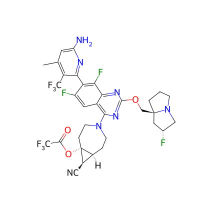 Cc1cc(N)nc(-c2c(F)cc3c(N4CC[C@H]5[C@@H](C#N)[C@@]5(OC(=O)C(F)(F)F)CC4)nc(OC[C@@]45CCCN4C[C@H](F)C5)nc3c2F)c1C(F)(F)F